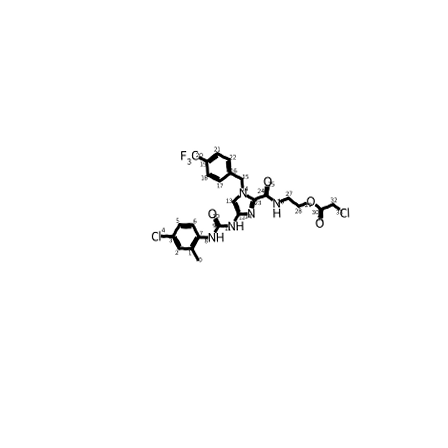 Cc1cc(Cl)ccc1NC(=O)Nc1cn(Cc2ccc(C(F)(F)F)cc2)c(C(=O)NCCOC(=O)CCl)n1